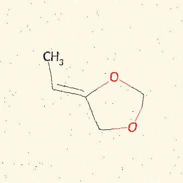 CC=C1COCO1